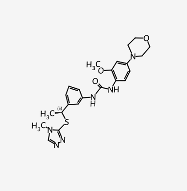 COc1cc(N2CCOCC2)ccc1NC(=O)Nc1cccc([C@H](C)Sc2nncn2C)c1